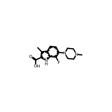 Cc1c(C(=O)O)[nH]c2c(F)c(N3CCN(C)CC3)ccc12